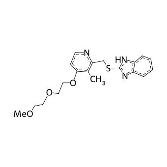 COCCOCCOc1ccnc(CSc2nc3ccccc3[nH]2)c1C